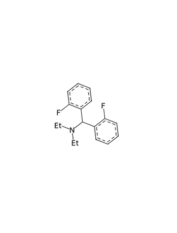 CCN(CC)C(c1ccccc1F)c1ccccc1F